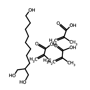 C=C(C)C(=O)O.C=C(C)C(=O)O.C=C(C)C(=O)O.OCCCCCCCCC(CO)CO